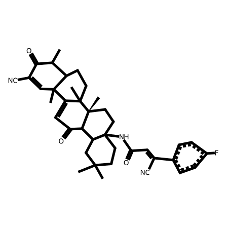 CC1C(=O)C(C#N)=CC2(C)C3=CC(=O)C4C5CC(C)(C)CCC5(NC(=O)/C=C(\C#N)c5ccc(F)cc5)CC[C@@]4(C)C3(C)CCC12